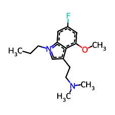 CCCn1cc(CCN(C)C)c2c(OC)cc(F)cc21